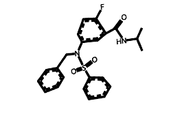 CC(C)NC(=O)c1cc(N(Cc2ccccc2)S(=O)(=O)c2ccccc2)ccc1F